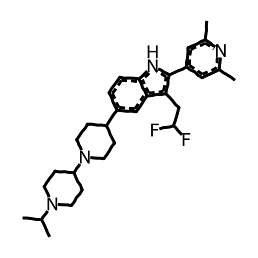 Cc1cc(-c2[nH]c3ccc(C4CCN(C5CCN(C(C)C)CC5)CC4)cc3c2CC(F)F)cc(C)n1